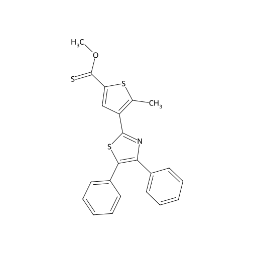 COC(=S)c1cc(-c2nc(-c3ccccc3)c(-c3ccccc3)s2)c(C)s1